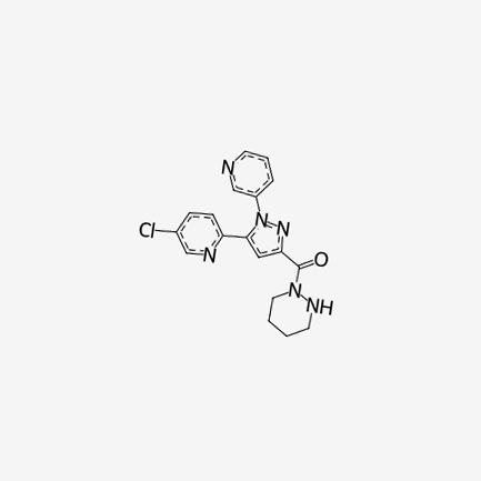 O=C(c1cc(-c2ccc(Cl)cn2)n(-c2cccnc2)n1)N1CCCCN1